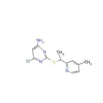 Cc1ccnc(C(C)Sc2nc(N)cc(Cl)n2)c1